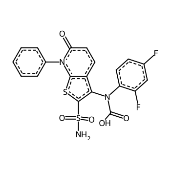 NS(=O)(=O)c1sc2c(ccc(=O)n2-c2ccccc2)c1N(C(=O)O)c1ccc(F)cc1F